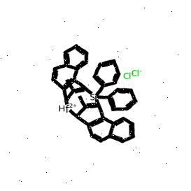 CC1=C2c3c(ccc4ccccc34)[CH]1[Hf+2][CH]1C(C)=C(c3c1ccc1ccccc31)[Si]2(c1ccccc1)c1ccccc1.[Cl-].[Cl-]